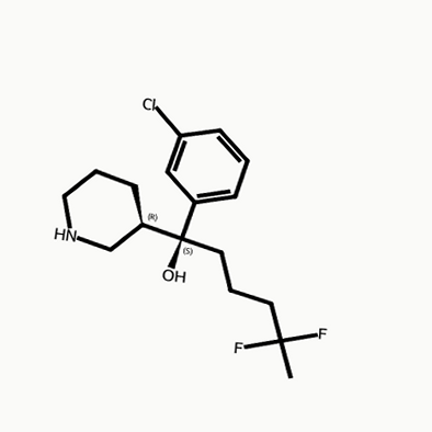 CC(F)(F)CCC[C@@](O)(c1cccc(Cl)c1)[C@@H]1CCCNC1